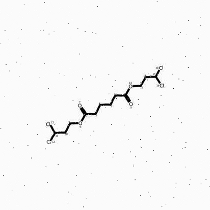 O=C(CCCCC(=O)OCCC(Cl)Cl)OCCC(Cl)Cl